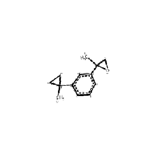 CC1(c2cccc(C3(C)CO3)c2)CC1